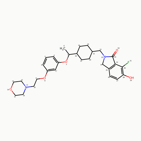 CC(Oc1cccc(OCCN2CCOCC2)c1)C1CCC(CN2Cc3ccc(O)c(F)c3C2=O)CC1